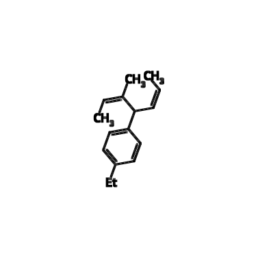 C/C=C\C(/C(C)=C\C)c1ccc(CC)cc1